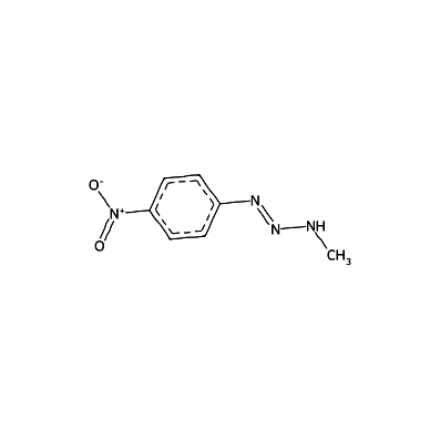 CN/N=N/c1ccc([N+](=O)[O-])cc1